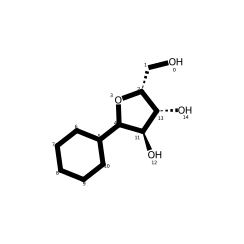 OC[C@H]1O[C](C2CCCCC2)[C@H](O)[C@H]1O